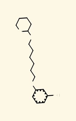 Oc1cccc(OCCCCCCOC2CCCCO2)c1